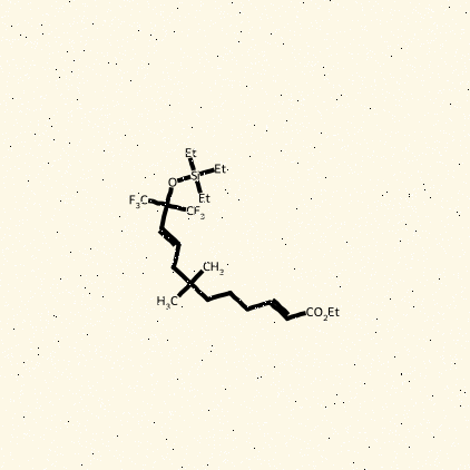 CCOC(=O)C=CCCCC(C)(C)CC=CC(O[Si](CC)(CC)CC)(C(F)(F)F)C(F)(F)F